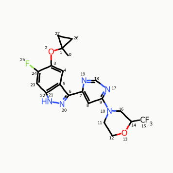 CC1(Oc2cc3c(-c4cc(N5CCOC(C(F)(F)F)C5)ncn4)n[nH]c3cc2F)CC1